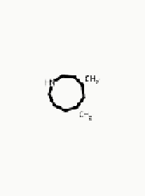 C1CCCCNCCC1.[CH2].[CH2]